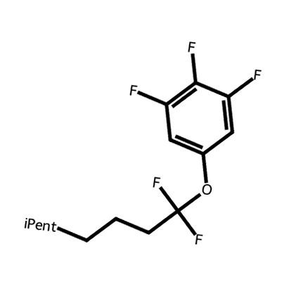 CCCC(C)CCCC(F)(F)Oc1cc(F)c(F)c(F)c1